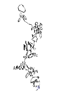 C/C=C1/CCCN(c2ccc(C3=CN4C(=O)c5cc(OC)c(OCCCOc6cc7c(cc6OC)C(=O)N6C=C(c8ccc(NC(=O)[C@H](C)NC(=O)C(NC(=O)CCCCCN9C(=O)CC(c%10ccccccccc%10)C9=O)C(C)C)cc8)C[C@H]6C=N7)cc5N=C[C@@H]4C3)cc2)CC1